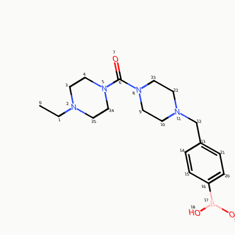 CCN1CCN(C(=O)N2CCN(Cc3ccc(B(O)O)cc3)CC2)CC1